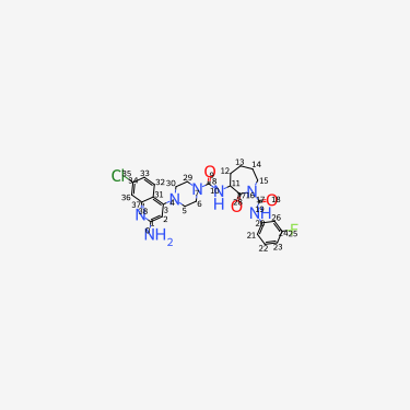 Nc1cc(N2CCN(C(=O)NC3CCCCN(C(=O)Nc4cccc(F)c4)C3=O)CC2)c2ccc(Cl)cc2n1